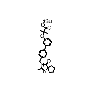 CC1=NC2(CCCC2)C(=O)N1Cc1ccc(-c2cccc(OC(C)(C)C(=O)OC(C)(C)C)c2)cc1